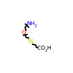 CC(C)(N)CCOC(C)(C)CCSSCCCC(=O)O